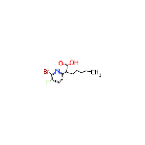 CCCCCC(C(=O)O)c1ccc(F)c(Br)n1